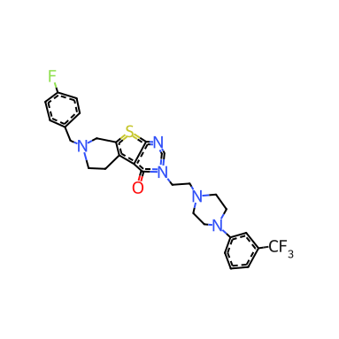 O=c1c2c3c(sc2ncn1CCN1CCN(c2cccc(C(F)(F)F)c2)CC1)CN(Cc1ccc(F)cc1)CC3